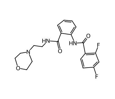 O=C(Nc1ccccc1C(=O)NCCN1CCOCC1)c1ccc(F)cc1F